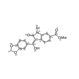 COC(=O)c1ccc2c(c1)N(C(C)=O)C(=O)C2=C(O)c1ccc2c(c1)OCO2